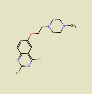 CN1CCN(CCOc2ccc3nc(Cl)nc(Cl)c3c2)CC1